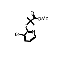 COC(=O)C(C)(C)Sc1ncccc1Br